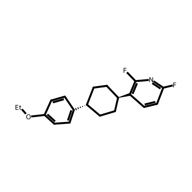 CCOc1ccc([C@H]2CC[C@H](c3ccc(F)nc3F)CC2)cc1